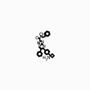 CN(Cc1ccccc1)C(=O)c1nc2nc(-c3ccc(C4(N)CCC4)cc3)c(-c3ccccc3)cn2n1